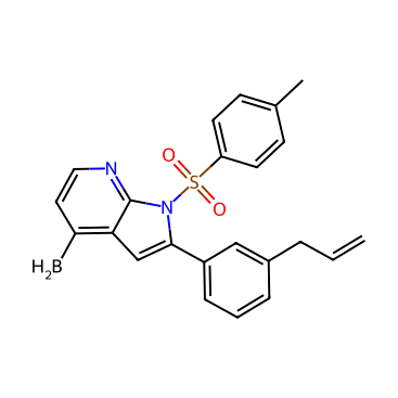 Bc1ccnc2c1cc(-c1cccc(CC=C)c1)n2S(=O)(=O)c1ccc(C)cc1